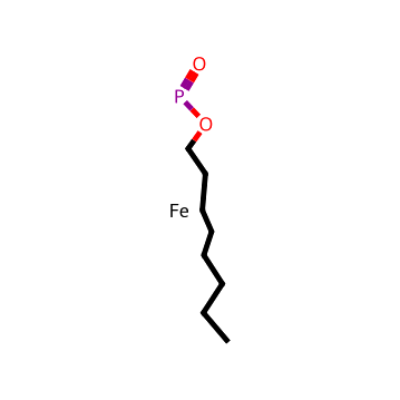 CCCCCCCCOP=O.[Fe]